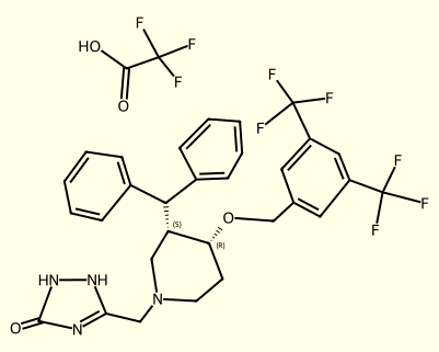 O=C(O)C(F)(F)F.O=c1nc(CN2CC[C@@H](OCc3cc(C(F)(F)F)cc(C(F)(F)F)c3)[C@@H](C(c3ccccc3)c3ccccc3)C2)[nH][nH]1